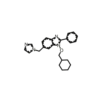 c1ccc(-c2nc3ccc(Cn4ccnc4)cc3n2OCC2CCCCC2)cc1